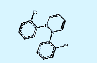 CCc1ccccc1N1C=CC=CN1c1ccccc1CC